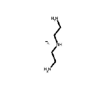 NCCNCCN.[Tc]